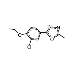 CCOc1ccc(-c2nnc(C)o2)cc1Cl